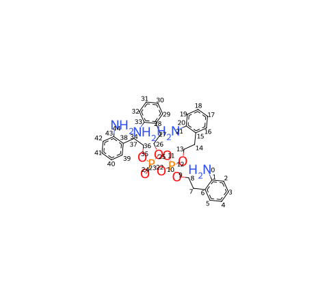 Nc1ccccc1CCOP(=O)(OCCc1ccccc1N)OP(=O)(OCCc1ccccc1N)OCCc1ccccc1N